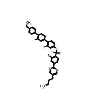 C=CCCc1cnc(-c2ccc(C(F)(F)Oc3ccc(-c4ccc(-c5ccc(CC)cc5)c(F)c4)c(F)c3)c(F)c2)nc1